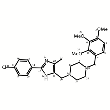 COc1ccc(CN2CCN(Cc3[nH]c(-c4ccc(Cl)cc4)nc3C)CC2)c(OC)c1OC